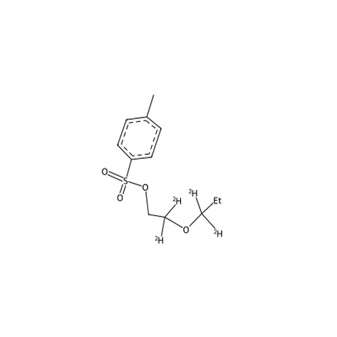 [2H]C([2H])(CC)OC([2H])([2H])COS(=O)(=O)c1ccc(C)cc1